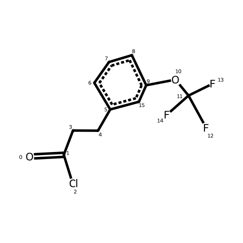 O=C(Cl)CCc1cccc(OC(F)(F)F)c1